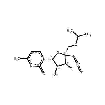 Cc1ccn([C@@H]2O[C@@](COC(C)C)(N=[N+]=[N-])[C@@H](F)[C@H]2O)c(=O)n1